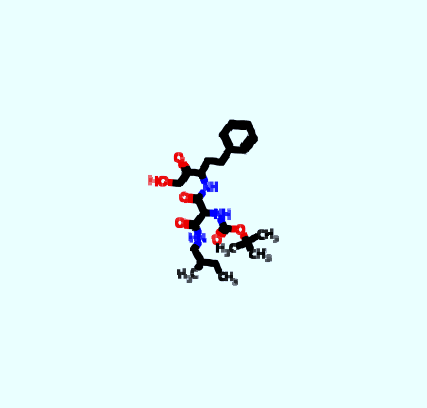 CCC(C)CNC(=O)C(NC(=O)OC(C)(C)C)C(=O)NC(CCc1ccccc1)C(=O)CO